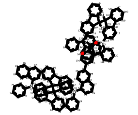 CC(C)(C)C1(C2(C(C)(C)C)c3ccccc3-c3ccc(N(c4ccccc4)c4cccc5cc(-c6ccc7c(N(c8ccccc8)c8ccc9c(c8)C(c8ccccc8)(C8(c%10ccccc%10)c%10ccccc%10-c%10ccc(N(c%11ccccc%11)c%11cccc%12ccccc%11%12)cc%108)c8ccccc8-9)cccc7c6)ccc45)cc32)c2ccccc2-c2ccc(N(c3ccccc3)c3cccc4ccccc34)cc21